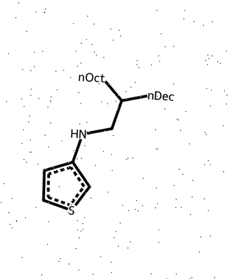 CCCCCCCCCCC(CCCCCCCC)CNc1ccsc1